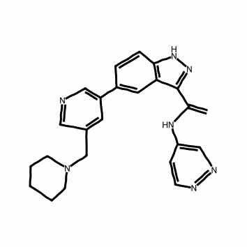 C=C(Nc1ccnnc1)c1n[nH]c2ccc(-c3cncc(CN4CCCCC4)c3)cc12